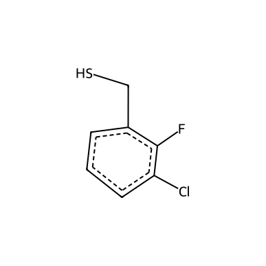 Fc1c(Cl)cccc1CS